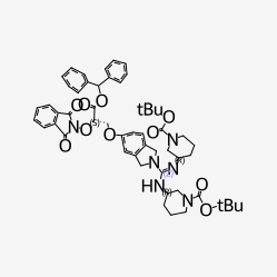 CC(C)(C)OC(=O)N1CCC[C@@H](/N=C(/N[C@@H]2CCCN(C(=O)OC(C)(C)C)C2)N2Cc3ccc(OC[C@H](ON4C(=O)c5ccccc5C4=O)C(=O)OC(c4ccccc4)c4ccccc4)cc3C2)C1